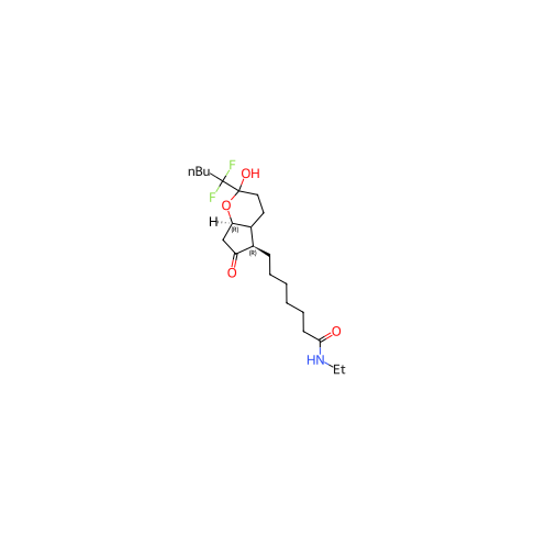 CCCCC(F)(F)C1(O)CCC2[C@@H](CC(=O)[C@@H]2CCCCCCC(=O)NCC)O1